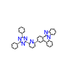 c1ccc(-c2nc(-c3ccccc3)nc(-c3cccc(-c4ccc5c(c4)c4ccccc4n4c6ccccc6nc54)n3)n2)cc1